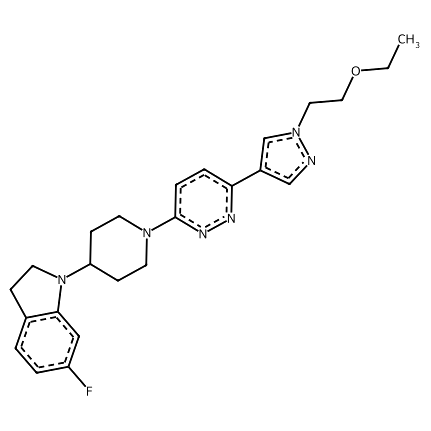 CCOCCn1cc(-c2ccc(N3CCC(N4CCc5ccc(F)cc54)CC3)nn2)cn1